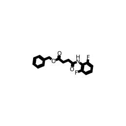 O=C(CCC(=O)OCc1ccccc1)Nc1c(F)cccc1F